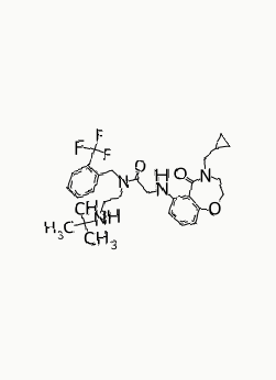 CC(C)(C)NCCN(Cc1ccccc1C(F)(F)F)C(=O)CNc1cccc2c1C(=O)N(CC1CC1)CCO2